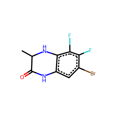 CC1Nc2c(cc(Br)c(F)c2F)NC1=O